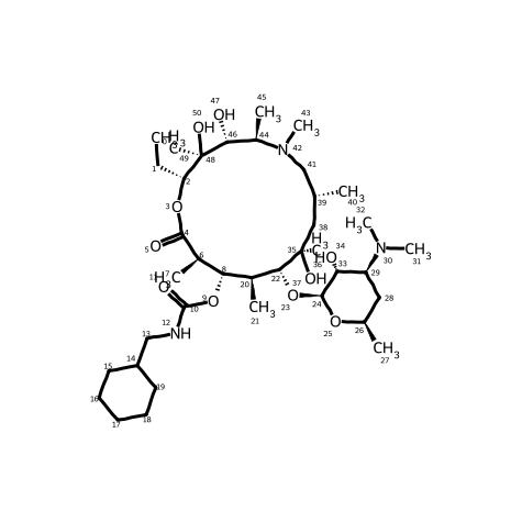 CC[C@H]1OC(=O)[C@H](C)[C@@H](OC(=O)NCC2CCCCC2)[C@H](C)[C@@H](O[C@@H]2O[C@H](C)C[C@H](N(C)C)[C@H]2O)[C@](C)(O)C[C@@H](C)CN(C)[C@H](C)[C@@H](O)[C@]1(C)O